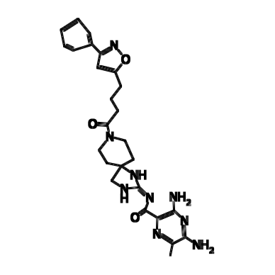 Cc1nc(C(=O)/N=C2\NCC3(CCN(C(=O)CCCc4cc(-c5ccccc5)no4)CC3)N2)c(N)nc1N